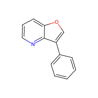 c1ccc(-c2coc3cccnc23)cc1